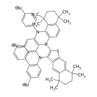 CC(C)(C)c1ccc(N2c3cc(C(C)(C)C)cc4c3B(c3ccc5c(c32)C(C)(C)CCC5(C)C)c2sc3cc5c(cc3c2N4c2ccc(C(C)(C)C)cc2-c2ccccc2)C(C)(C)CCC5(C)C)cc1